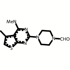 CNc1nc(N2CCN(C=O)CC2)nc2scc(C)c12